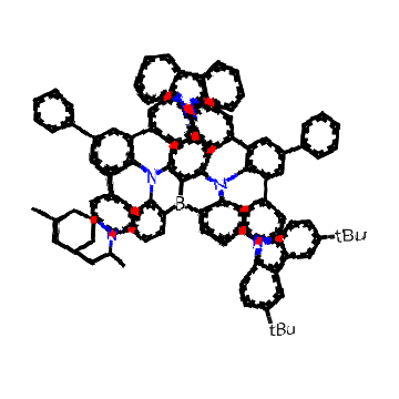 CC1CC2CC(C)N(c3ccc4c(c3)N(c3c(-c5ccccc5)cc(-c5ccccc5)cc3-c3ccccc3)c3cc(-n5c6ccccc6c6ccccc65)cc5c3B4c3ccc(-n4c6ccc(C(C)(C)C)cc6c6cc(C(C)(C)C)ccc64)cc3N5c3c(-c4ccccc4)cc(-c4ccccc4)cc3-c3ccccc3)C(C1)C2